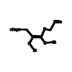 CCCCCCCCC(OCC)=C(OCC)OCOC